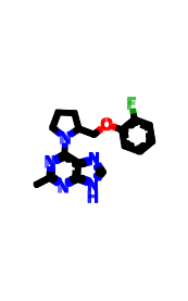 Cc1nc(N2CCCC2COc2ccccc2F)c2nc[nH]c2n1